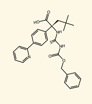 CC(C)(C)C[C@](NC(=S)NC(=O)OCc1ccccc1)(C(=O)O)c1ccc(-c2ccccn2)cc1